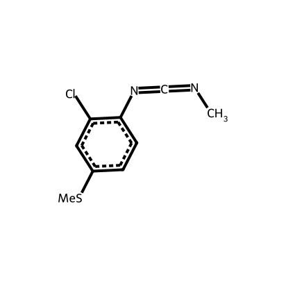 CN=C=Nc1ccc(SC)cc1Cl